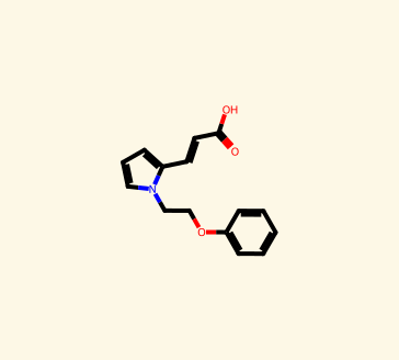 O=C(O)C=Cc1cccn1CCOc1ccccc1